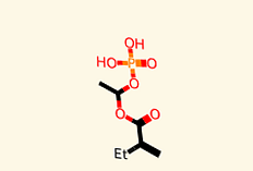 C=C(CC)C(=O)OC(C)OP(=O)(O)O